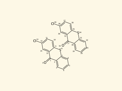 O=c1c2ccccc2sc2ccc(Cl)cc12.O=c1c2ccccc2sc2ccc(Cl)cc12